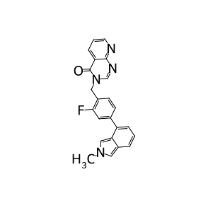 Cn1cc2cccc(-c3ccc(Cn4cnc5ncccc5c4=O)c(F)c3)c2c1